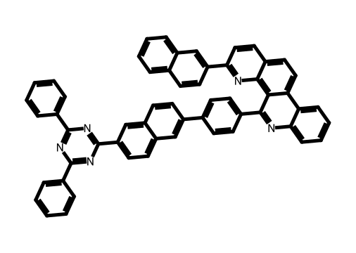 c1ccc(-c2nc(-c3ccccc3)nc(-c3ccc4cc(-c5ccc(-c6nc7ccccc7c7ccc8ccc(-c9ccc%10ccccc%10c9)nc8c67)cc5)ccc4c3)n2)cc1